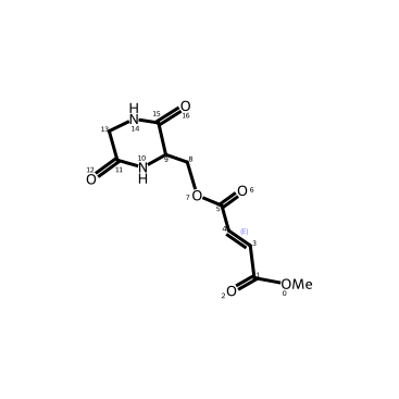 COC(=O)/C=C/C(=O)OCC1NC(=O)CNC1=O